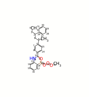 CCC(CC(C)c1ccc(C(=O)Nc2ccccc2SOOOC)cc1)c1ccccc1